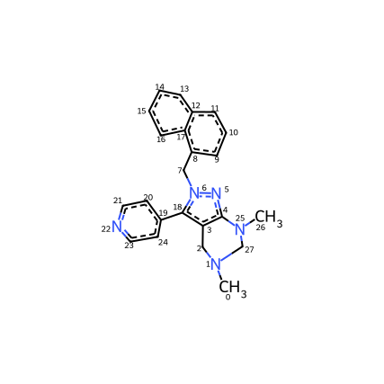 CN1Cc2c(nn(Cc3cccc4ccccc34)c2-c2ccncc2)N(C)C1